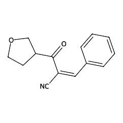 N#CC(=Cc1ccccc1)C(=O)C1CCOC1